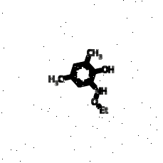 CCONc1cc(C)cc(C)c1O